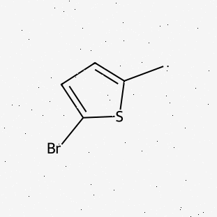 [CH2]c1ccc(Br)s1